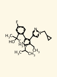 CCc1c(-c2cnn(CC3CC3)c2)c(-c2ccc(F)cc2C(C)(C)O)nn1C(C)C